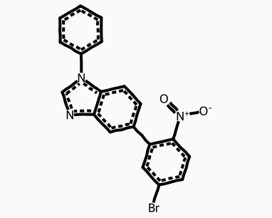 O=[N+]([O-])c1ccc(Br)cc1-c1ccc2c(c1)ncn2-c1ccccc1